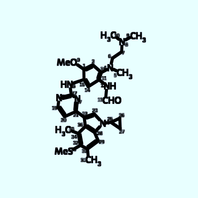 COc1cc(N(C)CCN(C)C)c(NC=O)cc1Nc1nccc(-c2cn(C3CC3)c3cc(C)c(SC)c(C)c23)n1